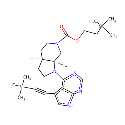 C[Si](C)(C)C#Cc1c[nH]c2ncnc(N3CC[C@H]4CCN(C(=O)OCC[Si](C)(C)C)C[C@H]43)c12